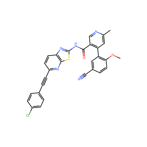 COc1ccc(C#N)cc1-c1cc(C)ncc1C(=O)Nc1nc2ccc(C#Cc3ccc(Cl)cc3)nc2s1